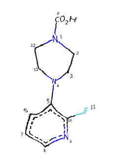 O=C(O)N1CCN(c2cccnc2F)CC1